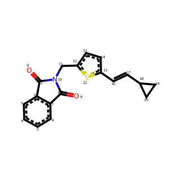 O=C1c2ccccc2C(=O)N1Cc1ccc(/C=C/C2CC2)s1